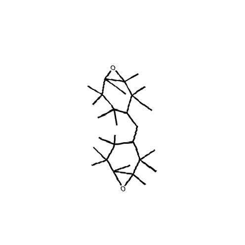 CC1(C)C(CC2C(C)(C)C(C)(C)C3(C)OC3(C)C2(C)C)C(C)(C)C2(C)OC2(C)C1(C)C